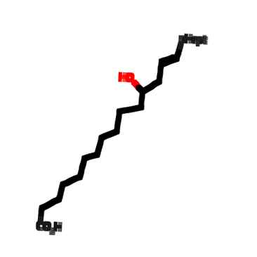 CCCCCCCC=CCC(O)CCCCCCCCCCC(=O)O